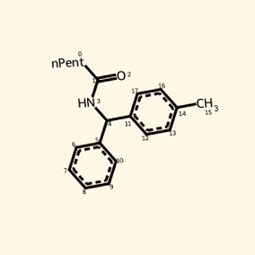 CCCCCC(=O)NC(c1ccccc1)c1ccc(C)cc1